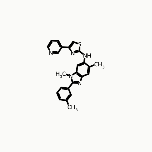 Cc1cccc(-c2nc3cc(C)c(Nc4nc(-c5cccnc5)cs4)cc3n2C)c1